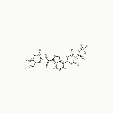 Cc1cn2cc(NC(=O)N3CCc4c(N5C[C@@H](C)N(C(=O)OC(C)(C)C)[C@@H](C)C5)ccnc43)c(C)cc2n1